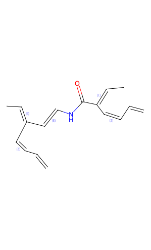 C=C\C=C/C(/C=C/NC(=O)C(/C=C\C=C)=C/C)=C\C